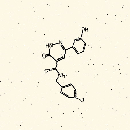 O=C(NCc1ccc(Cl)cc1)c1cc(-c2cccc(O)c2)n[nH]c1=O